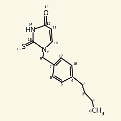 CCCCc1ccc(Cn2ccc(=O)[nH]c2=S)cc1